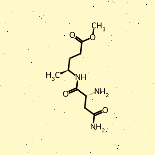 COC(=O)CC[C@H](C)NC(=O)[C@H](N)CC(N)=O